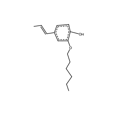 CC=Cc1ccc(O)c(OCCCCCC)c1